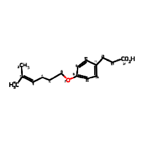 CC(C)=CCCCOc1ccc(CCC(=O)O)cc1